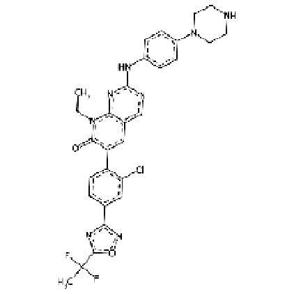 CCn1c(=O)c(-c2ccc(-c3noc(C(C)(F)F)n3)cc2Cl)cc2cnc(Nc3ccc(N4CCNCC4)cc3)nc21